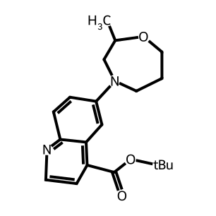 CC1CN(c2ccc3nccc(C(=O)OC(C)(C)C)c3c2)CCCO1